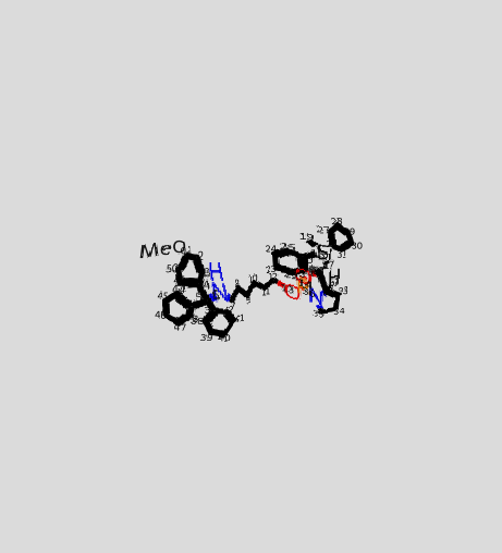 COc1ccc(C(NCCCCCCOP2O[C@H](C[Si](C)(c3ccccc3)c3ccccc3)[C@@H]3CCCN32)(c2ccccc2)c2ccccc2)cc1